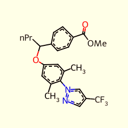 CCCC(Oc1cc(C)c(-n2cc(C(F)(F)F)cn2)c(C)c1)c1ccc(C(=O)OC)cc1